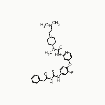 CN(C)CCN1CCC(N(C)C(=O)Nc2cc(Oc3ccc(NC(=S)NC(=O)Cc4ccccc4)cc3F)ccn2)CC1